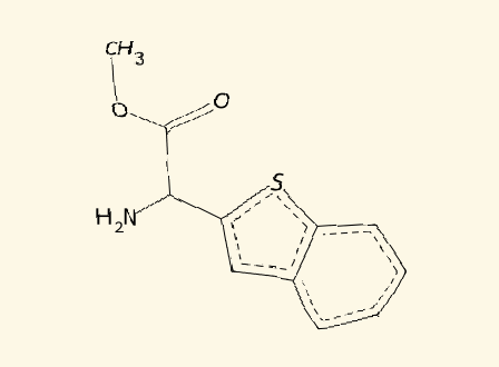 COC(=O)C(N)c1cc2ccccc2s1